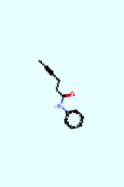 CC#CCCC(=O)Nc1ccccc1